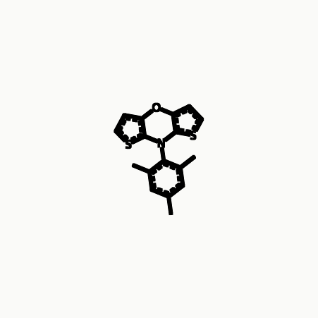 Cc1cc(C)c(N2c3sccc3Oc3ccsc32)c(C)c1